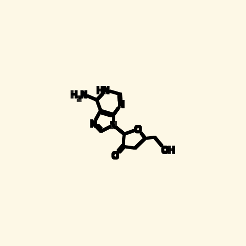 NC1NC=Nc2c1ncn2C1OC(CO)CC1=O